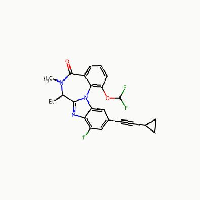 CCC1c2nc3c(F)cc(C#CC4CC4)cc3n2-c2c(OC(F)F)cccc2C(=O)N1C